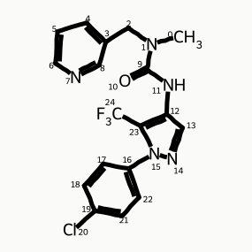 CN(Cc1cccnc1)C(=O)Nc1cnn(-c2ccc(Cl)cc2)c1C(F)(F)F